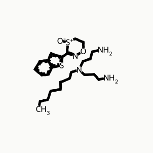 CCCCCCCCN(CCCN)CCCN.[O-][S+]1CCON=C1c1cc2ccccc2s1